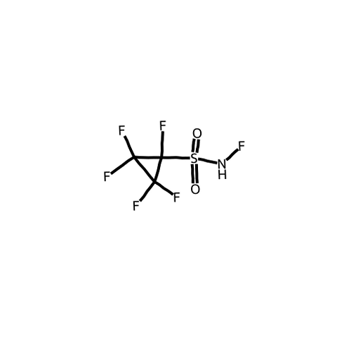 O=S(=O)(NF)C1(F)C(F)(F)C1(F)F